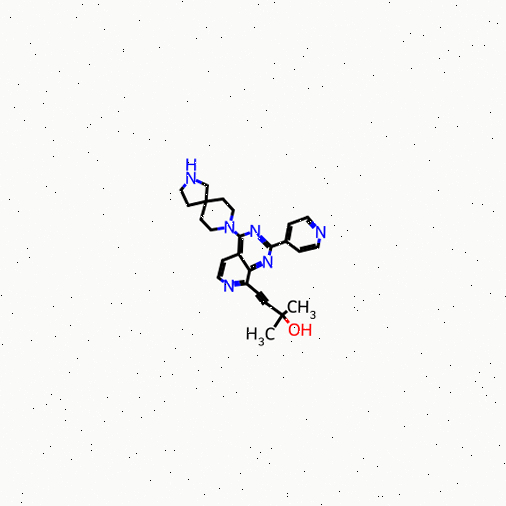 CC(C)(O)C#Cc1nccc2c(N3CCC4(CCNC4)CC3)nc(-c3ccncc3)nc12